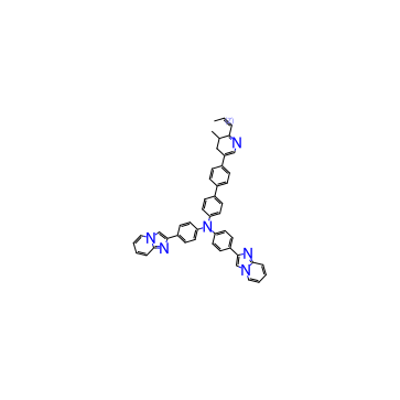 C/C=C\C1=NC=C(c2ccc(-c3ccc(N(c4ccc(-c5cn6ccccc6n5)cc4)c4ccc(-c5cn6ccccc6n5)cc4)cc3)cc2)CC1C